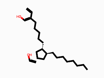 C=CC(=CO)CCCCC[C@H]1CCC[C@@H]1CCCCCCCC.C=CO